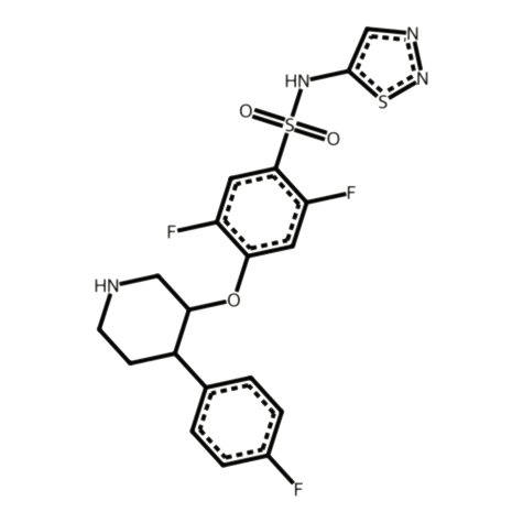 O=S(=O)(Nc1cnns1)c1cc(F)c(OC2CNCCC2c2ccc(F)cc2)cc1F